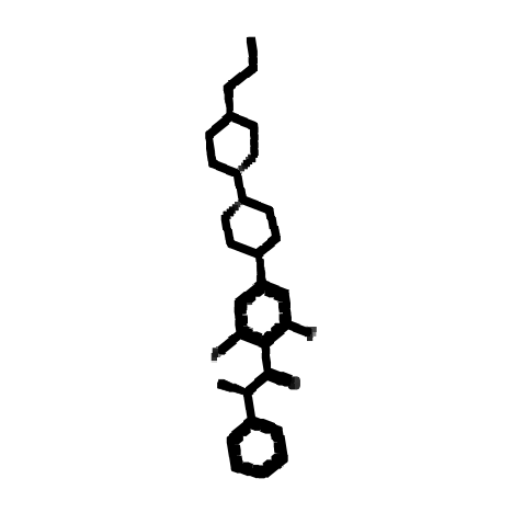 CCC[C@H]1CC[C@H]([C@H]2CC[C@H](c3cc(F)c(C(=O)[C@H](C)c4ccccc4)c(F)c3)CC2)CC1